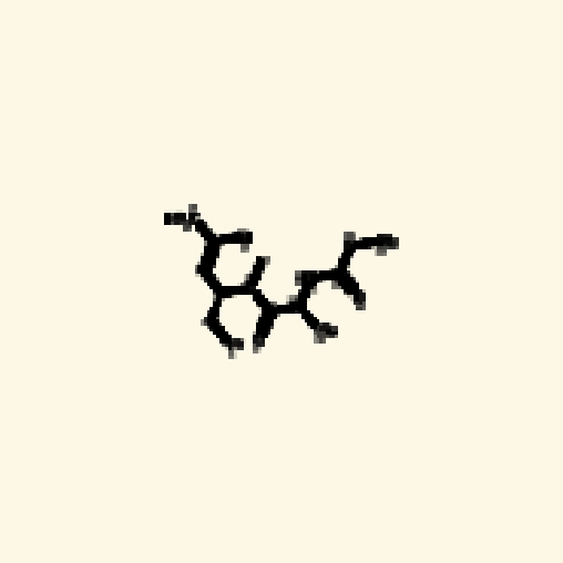 CCC(=C[C@H](CC(C)C)N(C)C(=O)[C@@H](NC(=O)OC(C)(C)C)C(C)(C)C)C(=O)O